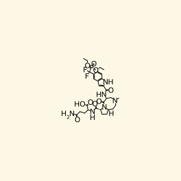 CCOP(=O)(OCC)C(F)(F)c1ccc2[nH]c(C(=O)N[C@H]3CN(C)CC[C@H]4CC[C@@H](C(=O)NC(CCC(N)=O)C(=O)O)N4C3=O)cc2c1